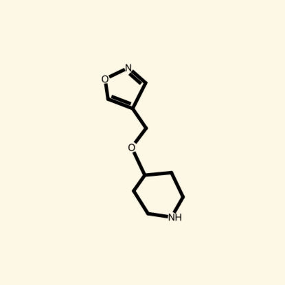 c1nocc1COC1CCNCC1